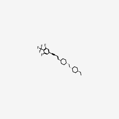 CC[C@H]1CC[C@H](CC[C@H]2CC[C@H](C=CC#Cc3cc(F)c(C(F)(F)F)c(F)c3)CC2)CC1